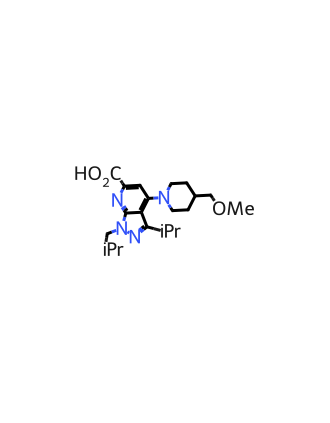 COCC1CCN(c2cc(C(=O)O)nc3c2c(C(C)C)nn3CC(C)C)CC1